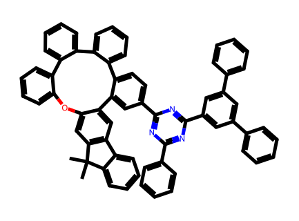 CC1(C)c2ccccc2-c2cc3c(cc21)Oc1ccccc1-c1ccccc1-c1ccccc1-c1ccc(-c2nc(-c4ccccc4)nc(-c4cc(-c5ccccc5)cc(-c5ccccc5)c4)n2)cc1-3